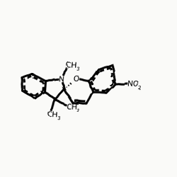 CN1c2ccccc2C(C)(C)[C@]12C=Cc1cc([N+](=O)[O-])ccc1O2